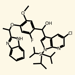 COc1cc(C(O)c2cn([Si](C(C)C)(C(C)C)C(C)C)c3ncc(Cl)cc23)c(F)cc1OC(C)c1nc2ccccc2[nH]1